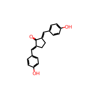 O=C1/C(=C/c2ccc(O)cc2)CC/C1=C\c1ccc(O)cc1